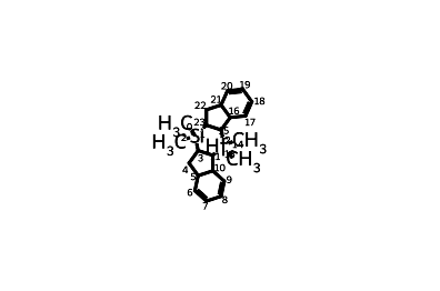 C[Si]1(C)C2CC3C=CC=CC3[CH]2[Hf]([CH3])([CH3])[CH]2C3C=CC=CC3CC21